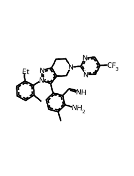 CCc1cccc(C)c1-n1nc2c(c1-c1ccc(C)c(N)c1C=N)CN(c1ncc(C(F)(F)F)cn1)CC2